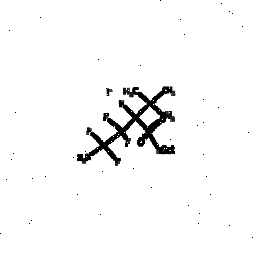 CCCCCCCCS(=O)(=O)C(F)(C(F)(F)C(N)(F)F)[N+](C)(C)C.[I-]